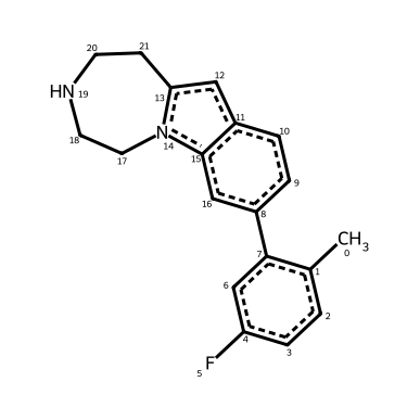 Cc1ccc(F)cc1-c1ccc2cc3n(c2c1)CCNCC3